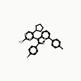 Cc1ccc(-c2cccc3c(-c4nc(N)ncc4C4CCCC4)c(-c4ccc(F)cc4)nn23)cc1